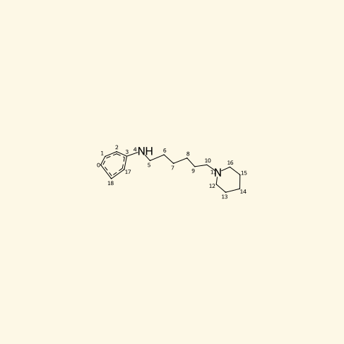 c1ccc(NCCCCCCN2CCCCC2)cc1